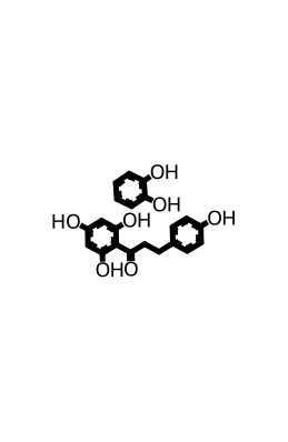 O=C(CCc1ccc(O)cc1)c1c(O)cc(O)cc1O.Oc1ccccc1O